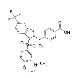 CN1CCOc2ccc(S(=O)(=O)n3c(C(O)c4ccc(C(=O)O)cc4)cc4cc(C(F)(F)F)ccc43)cc21